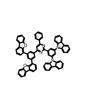 c1ccc(-c2cc(-c3cc(-c4cccc5c4oc4ccccc45)cc(-c4cccc5c4oc4ccccc45)c3)nc(-c3cc(-n4c5ccccc5c5ccccc54)cc(-n4c5ccccc5c5ccccc54)c3)n2)cc1